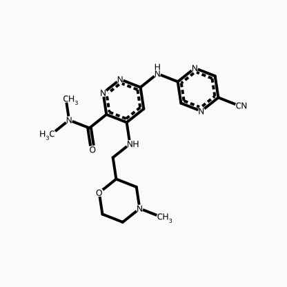 CN1CCOC(CNc2cc(Nc3cnc(C#N)cn3)nnc2C(=O)N(C)C)C1